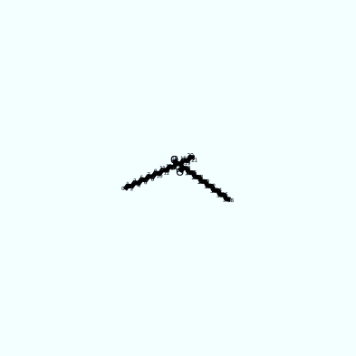 CCCCCCCCCCCCCCCC(=O)[C](CCCC)C(=O)CCCCCCCCCCCCCCC